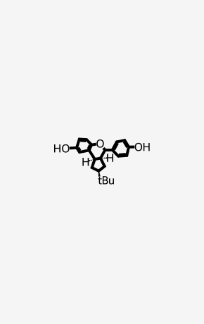 CC(C)(C)[C@@H]1C[C@@H]2C(c3ccc(O)cc3)Oc3ccc(O)cc3[C@@H]2C1